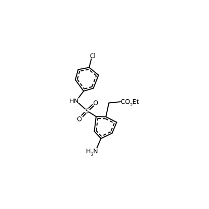 CCOC(=O)Cc1ccc(N)cc1S(=O)(=O)Nc1ccc(Cl)cc1